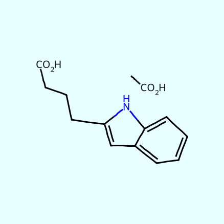 CC(=O)O.O=C(O)CCCc1cc2ccccc2[nH]1